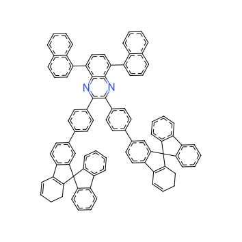 C1=CC2=C(CC1)C1(c3cc(-c4ccc(-c5nc6c(-c7cccc8ccccc78)ccc(-c7cccc8ccccc78)c6nc5-c5ccc(-c6ccc7c(c6)C6(C8=C7C=CCC8)c7ccccc7-c7ccccc76)cc5)cc4)ccc32)c2ccccc2-c2ccccc21